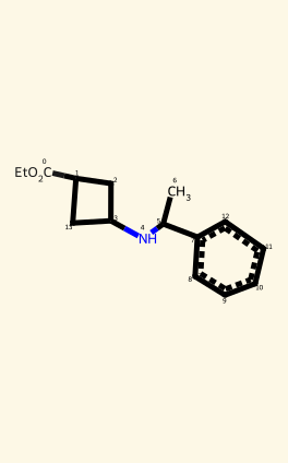 CCOC(=O)C1CC(NC(C)c2ccccc2)C1